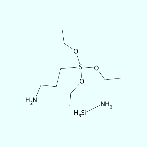 CCO[Si](CCCN)(OCC)OCC.N[SiH3]